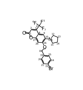 O=c1cc(C(F)(F)F)c2cc(N3CCCC3)c(OCc3ccc(Br)cc3)cc2o1